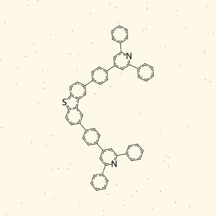 c1ccc(-c2cc(-c3ccc(-c4ccc5sc6ccc(-c7ccc(-c8cc(-c9ccccc9)nc(-c9ccccc9)c8)cc7)cc6c5c4)cc3)cc(-c3ccccc3)n2)cc1